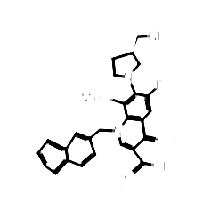 C=C(O)C1=CN(Cc2ccc3ccccc3c2)c2c(cc(F)c(N3CC[C@@H](CN)C3)c2OC)C1=C